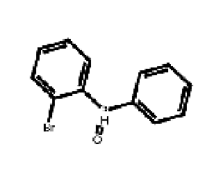 O=[PH](c1ccccc1)c1ccccc1Br